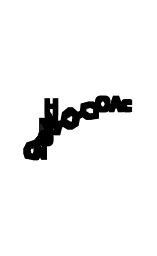 CC(=O)OC1CCC(c2ccc(-c3cc(OCc4ccccn4)n[nH]3)cc2)CC1